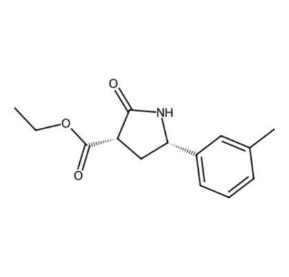 CCOC(=O)[C@H]1C[C@@H](c2cccc(C)c2)NC1=O